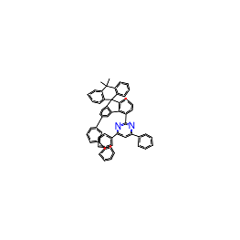 CC1(C)c2ccccc2C2(c3ccc(-c4cccc(-c5ccccc5)c4)cc3-c3c(-c4nc(-c5ccccc5)cc(-c5ccccc5)n4)cccc32)c2ccccc21